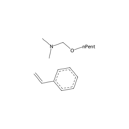 C=Cc1ccccc1.CCCCCOCN(C)C